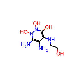 NC1=C(N)N(O)N(O)C(O)=C1NCCO